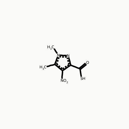 Cc1c([N+](=O)[O-])c(C(=O)S)nn1C